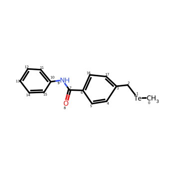 C[Te]Cc1ccc(C(=O)Nc2ccccc2)cc1